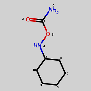 NC(=O)ONC1CCCCC1